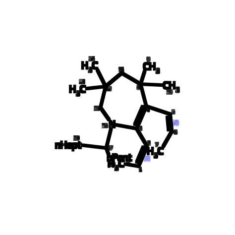 C/C=C\C1=C(/C=C\C)C(C)(C)CC(C)(C)CN1C(CCCCC)CCCCCCC